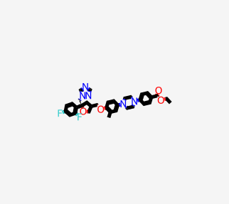 CCOC(=O)c1ccc(N2CCN(c3ccc(OCC4CO[C@@](Cn5cncn5)(c5ccc(F)cc5F)C4)c(C)c3)CC2)cc1